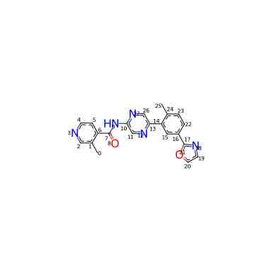 Cc1cnccc1C(=O)Nc1cnc(-c2cc(-c3ncco3)ccc2C)cn1